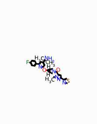 CCn1nc(-c2cscn2)cc1C(=O)N1C[C@@H]2C(Oc3cc(C(C)(C)N)cc(-c4ccc(F)cc4)n3)[C@@H]2C1